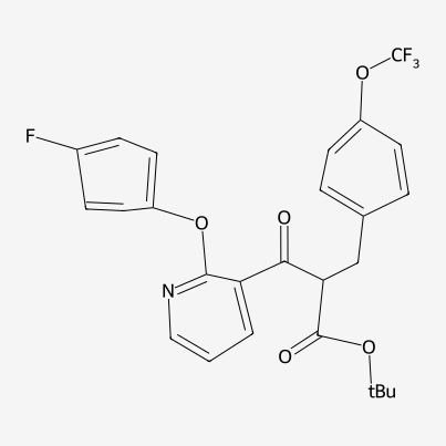 CC(C)(C)OC(=O)C(Cc1ccc(OC(F)(F)F)cc1)C(=O)c1cccnc1Oc1ccc(F)cc1